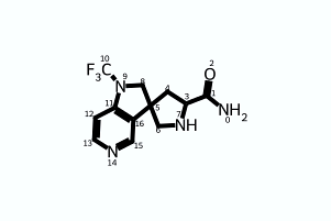 NC(=O)C1CC2(CN1)CN(C(F)(F)F)c1ccncc12